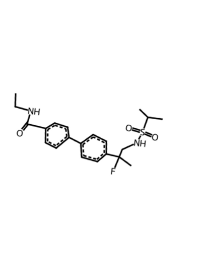 CCNC(=O)c1ccc(-c2ccc(C(C)(F)CNS(=O)(=O)C(C)C)cc2)cc1